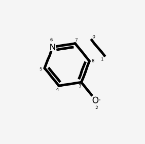 CC.[O]c1ccncc1